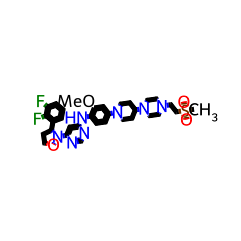 COc1cc(N2CCC(N3CCN(CCS(C)(=O)=O)CC3)CC2)ccc1Nc1cc(N2OCCC2c2cccc(F)c2F)ncn1